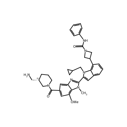 COc1cc(C(=O)N2CCC[C@@H](CN)C2)cc2nc(-c3cc4cccc(C5CN(C(=O)Nc6ccccc6)C5)c4n3CC3CC3)n(C)c12